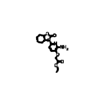 CCOC(=O)COc1ccc(N2C(=O)OC3CCCCC32)nc1N